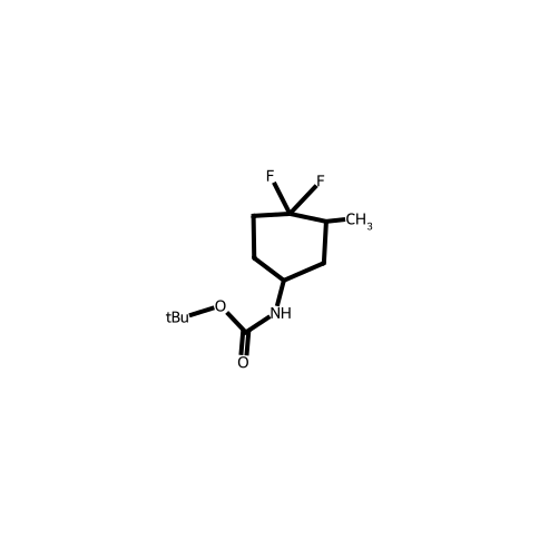 CC1CC(NC(=O)OC(C)(C)C)CCC1(F)F